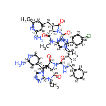 CC[C@@H](NC(=O)N1C(=O)[C@H](Cc2cc(C)nc(N)c2)[C@H]1C(=O)N(C)c1cnn(CCC[C@@H](NC(=O)N2C(=O)[C@H](Cc3ccnc(N)c3)[C@H]2C(=O)N(C)c2nncn2C)c2ccccc2)c1)c1ccc(Cl)cc1